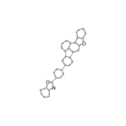 c1ccc2oc(-c3ccc(-c4ccc5c(c4)-c4cccc6c4c-5cc4oc5ccccc5c46)cc3)nc2c1